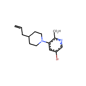 C=CCC1CCN(c2cc(Br)cnc2C(=O)O)CC1